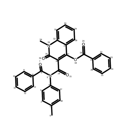 Cc1ccc(N(C(=O)c2ccccc2)C(=O)c2c(OC(=O)c3ccccc3)c3ccccc3n(C)c2=O)cc1